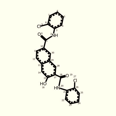 O=C(Nc1ccccc1Cl)c1ccc2cc(O)c(C(=O)Nc3ccccc3Cl)cc2c1